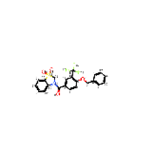 O=C(c1ccc(OCc2ccccc2)c(C(F)(F)F)c1)N1CS(=O)(=O)c2ccccc21